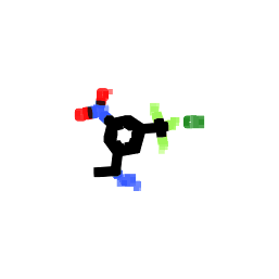 CC(N)c1cc([N+](=O)[O-])cc(C(F)(F)F)c1.Cl